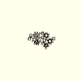 COC(=O)CCc1nnn(CC[C@H]2O[C@H](c3cccc(OC)c3OC)c3cc(Cl)ccc3-n3cccc32)n1